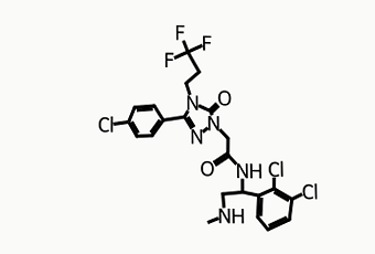 CNCC(NC(=O)Cn1nc(-c2ccc(Cl)cc2)n(CCC(F)(F)F)c1=O)c1cccc(Cl)c1Cl